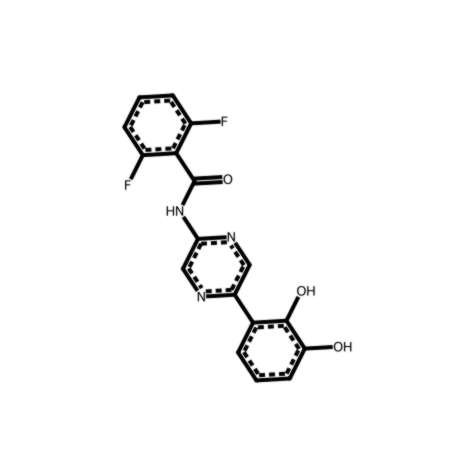 O=C(Nc1cnc(-c2cccc(O)c2O)cn1)c1c(F)cccc1F